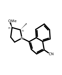 CO[C@@H]1CCN(c2ccc(C#N)c3ccccc23)[C@H]1C